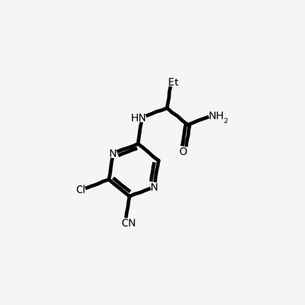 CCC(Nc1cnc(C#N)c(Cl)n1)C(N)=O